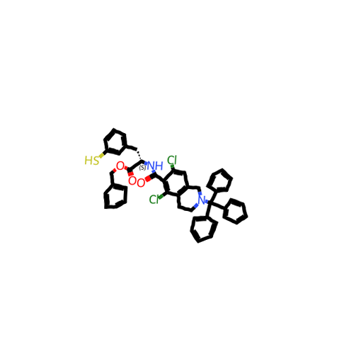 O=C(N[C@@H](Cc1cccc(S)c1)C(=O)OCc1ccccc1)c1c(Cl)cc2c(c1Cl)CCN(C(c1ccccc1)(c1ccccc1)c1ccccc1)C2